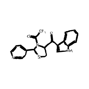 O=C(c1c[nH]c2ccccc12)C1CSC(c2cccnc2)N1C(=O)C(F)(F)F